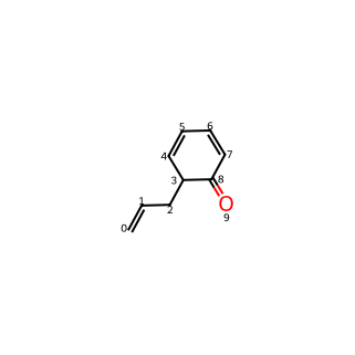 C=CCC1C=CC=CC1=O